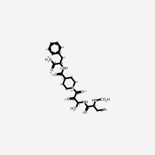 CC(C)CC(NC(=O)O)C(=O)NC(C)C(=O)C(=O)N1CCC(C(=O)NC(Cc2ccccc2)C(N)=O)CC1